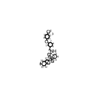 O=C(NCc1cccc(Oc2ccc(C(F)(F)F)cc2)c1)[C@@H]1CCCN1S(=O)(=O)c1cc2cnccc2o1